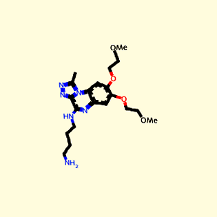 COCCOc1cc2nc(NCCCCN)c3nnc(C)n3c2cc1OCCOC